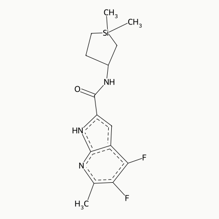 Cc1nc2[nH]c(C(=O)NC3CC[Si](C)(C)C3)cc2c(F)c1F